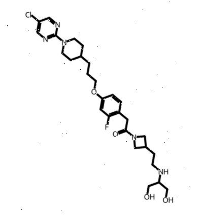 O=C(Cc1ccc(OCCCC2CCN(c3ncc(Cl)cn3)CC2)cc1F)N1CC(CCNC(CO)CO)C1